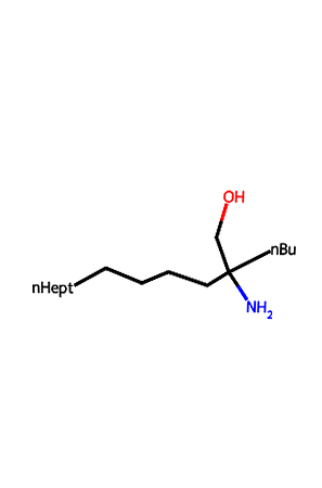 CCCCCCCCCCCC(N)(CO)CCCC